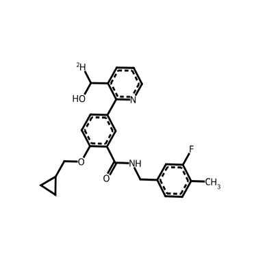 [2H]C(O)c1cccnc1-c1ccc(OCC2CC2)c(C(=O)NCc2ccc(C)c(F)c2)c1